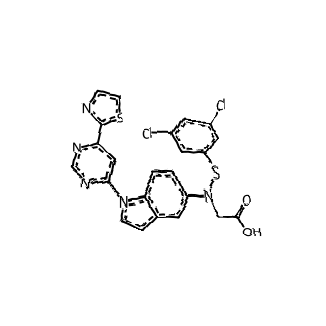 O=C(O)CN(Sc1cc(Cl)cc(Cl)c1)c1ccc2c(ccn2-c2cc(-c3nccs3)ncn2)c1